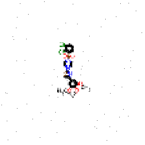 COc1cc(-c2csc(N3CCN(S(=O)(=O)c4cccc(Cl)c4Cl)CC3)n2)cc(OC)c1OC